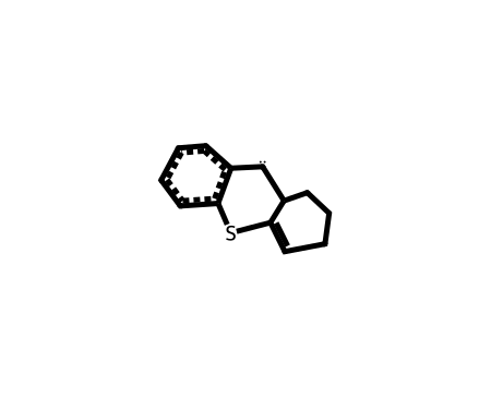 [C]1c2ccccc2SC2=CCCCC12